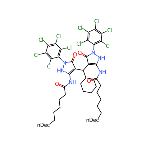 CCCCCCCCCCCCCCCC(=O)Nc1[nH]n(-c2c(Cl)c(Cl)c(Cl)c(Cl)c2Cl)c(=O)c1C(c1c(NC(=O)CCCCCCCCCCCCCCC)[nH]n(-c2c(Cl)c(Cl)c(Cl)c(Cl)c2Cl)c1=O)C1CCCCC1